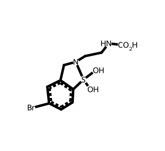 O=C(O)NCCN1Cc2cc(Br)ccc2S1(O)O